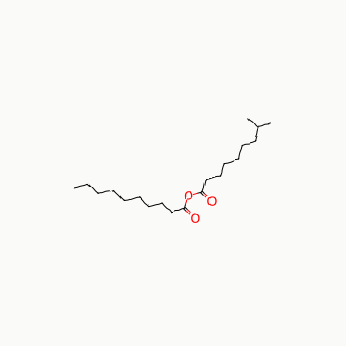 CCCCCCCCCC(=O)OC(=O)CCCCCCC(C)C